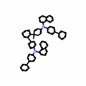 CC1(c2ccccc2-c2ccc(N(c3ccc(-c4ccccc4)cc3)c3cccc4ccccc34)cc2)C=CC(N(c2ccc(-c3ccccc3)cc2)c2cccc3ccccc23)=CC1